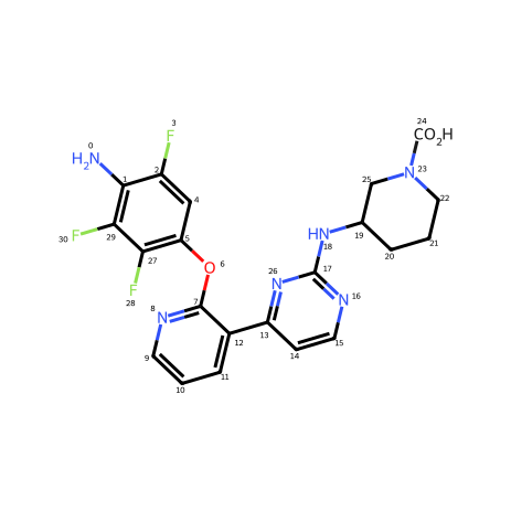 Nc1c(F)cc(Oc2ncccc2-c2ccnc(NC3CCCN(C(=O)O)C3)n2)c(F)c1F